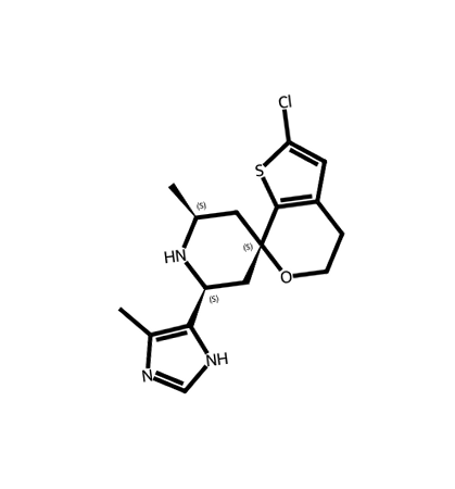 Cc1nc[nH]c1[C@@H]1C[C@]2(C[C@H](C)N1)OCCc1cc(Cl)sc12